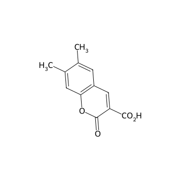 Cc1cc2cc(C(=O)O)c(=O)oc2cc1C